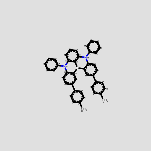 Cc1ccc(-c2ccc3c(c2)B2c4cc(-c5ccc(C)cc5)ccc4N(c4ccccc4)c4cccc(c42)N3c2ccccc2)cc1